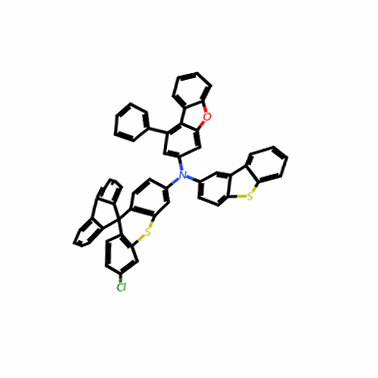 Clc1ccc2c(c1)Sc1cc(N(c3cc(-c4ccccc4)c4c(c3)oc3ccccc34)c3ccc4sc5ccccc5c4c3)ccc1C21c2ccccc2-c2ccccc21